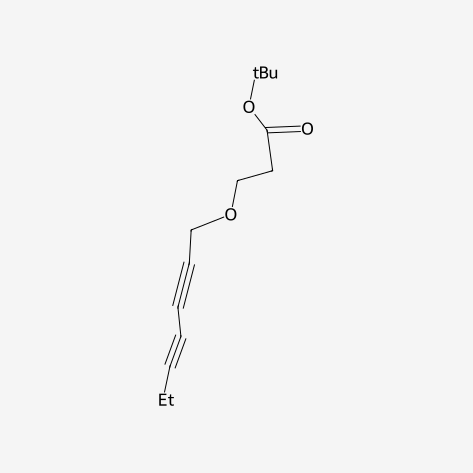 CCC#CC#CCOCCC(=O)OC(C)(C)C